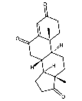 C[C@]12CCC(=O)C=C1C(=O)C[C@@H]1[C@@H]2CC[C@]2(C)C(=O)CC[C@@H]12